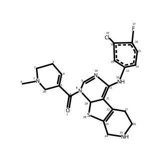 CN1CCC=C(C(=O)N2C=NC(Nc3ccc(F)c(Cl)c3)=C3C4=C(CNCC4)SC32)C1